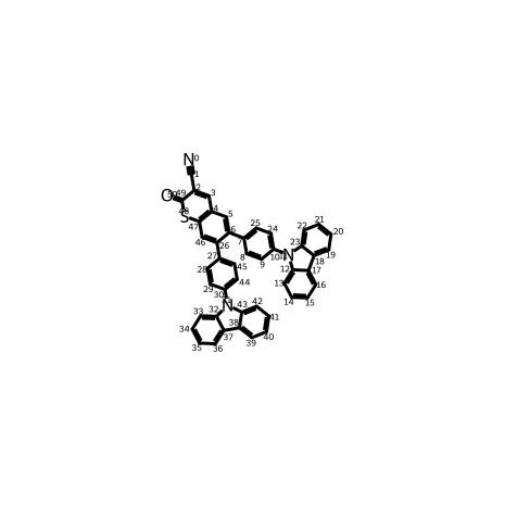 N#Cc1cc2cc(-c3ccc(-n4c5ccccc5c5ccccc54)cc3)c(-c3ccc(-n4c5ccccc5c5ccccc54)cc3)cc2sc1=O